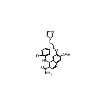 CCc1ccccc1Nc1c(C(N)=O)cnc2cc(OC)c(OCCCn3ccnc3)cc12